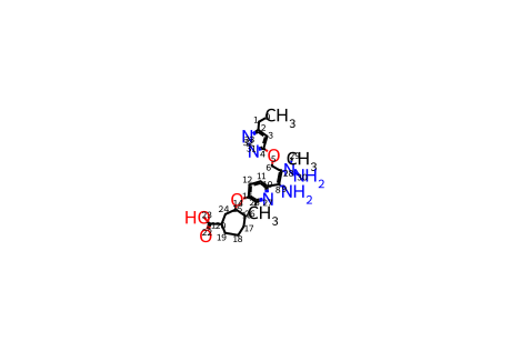 CCc1cc(OC/C(=C(/N)c2ccc(OC3CCCCC(C(=O)O)C3)c(C)n2)N(C)N)ncn1